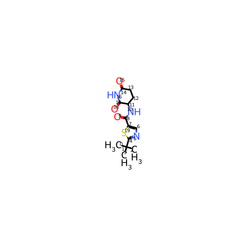 CC(C)(C)c1ncc(C(=O)NC2CCC(=O)NC2=O)s1